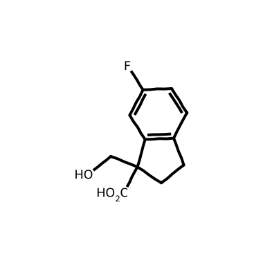 O=C(O)C1(CO)CCc2ccc(F)cc21